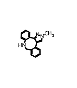 Cn1cc2c(n1)-c1ccccc1NCc1ccccc1-2